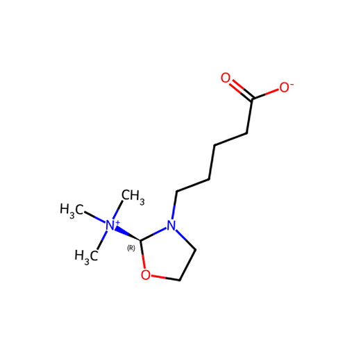 C[N+](C)(C)[C@@H]1OCCN1CCCCC(=O)[O-]